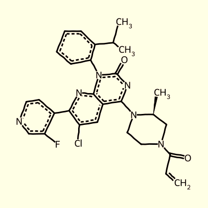 C=CC(=O)N1CCN(c2nc(=O)n(-c3ccccc3C(C)C)c3nc(-c4ccncc4F)c(Cl)cc23)[C@@H](C)C1